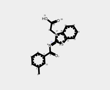 Cc1cccc(C(=O)/N=c2\sc3ccccc3n2CC(=O)O)c1